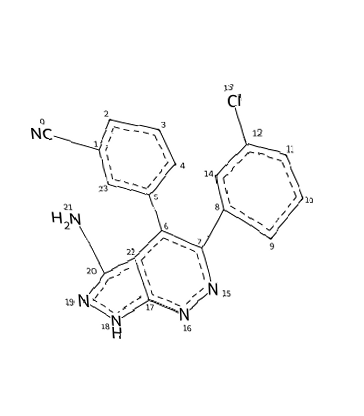 N#Cc1cccc(-c2c(-c3cccc(Cl)c3)nnc3[nH]nc(N)c23)c1